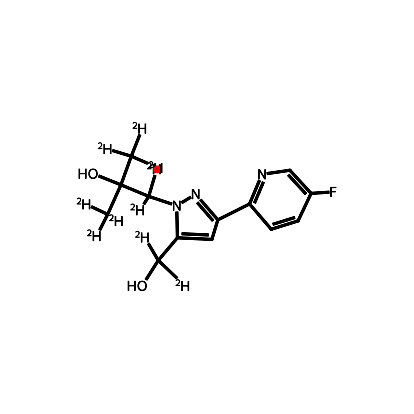 [2H]C([2H])(O)c1cc(-c2ccc(F)cn2)nn1C([2H])([2H])C(O)(C([2H])([2H])[2H])C([2H])([2H])[2H]